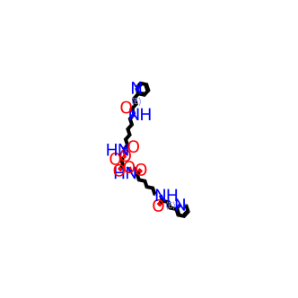 O=C(/C=C/c1ccccn1)NCCCCCC(=O)NOC(=O)C(=O)ONC(=O)CCCCCNC(=O)/C=C/c1ccccn1